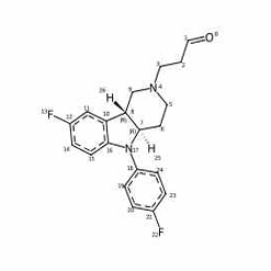 O=CCCN1CC[C@@H]2[C@@H](C1)c1cc(F)ccc1N2c1ccc(F)cc1